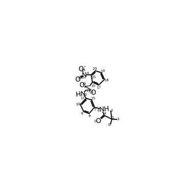 CC(C)(C)C(=O)Nc1cccc(NS(=O)(=O)c2ccccc2[N+](=O)[O-])c1